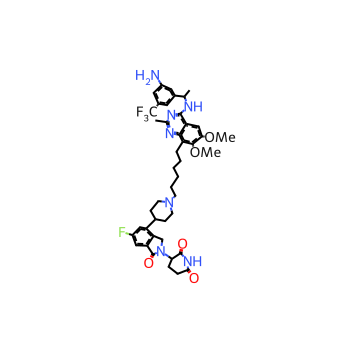 COc1cc2c(NC(C)c3cc(N)cc(C(F)(F)F)c3)nc(C)nc2c(CCCCCCN2CCC(c3cc(F)cc4c3CN(C3CCC(=O)NC3=O)C4=O)CC2)c1OC